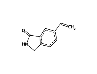 C=Cc1ccc2c(c1)C(=O)NC2